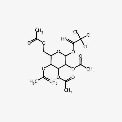 C=C(C)OC1C(COC(C)=O)OC(OC(=N)C(Cl)(Cl)Cl)C(OC(C)=O)C1OC(C)=O